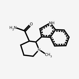 CN1CCCC(C(N)=O)C1c1c[nH]c2ccccc12